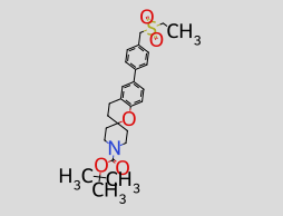 CCS(=O)(=O)Cc1ccc(-c2ccc3c(c2)CCC2(CCN(C(=O)OC(C)(C)C)CC2)O3)cc1